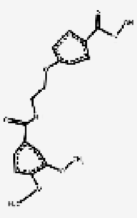 COc1ccc(C(=O)NCCOc2ccc(C(=S)NO)cc2)cc1OC